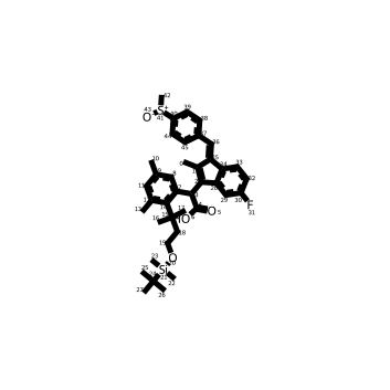 CC1=C(C(C(=O)O)c2cc(C)cc(C)c2C(C)(C)CCO[Si](C)(C)C(C)(C)C)c2cc(F)ccc2C1=Cc1ccc([S+](C)[O-])cc1